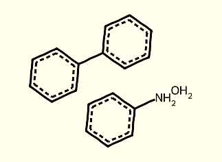 Nc1ccccc1.O.c1ccc(-c2ccccc2)cc1